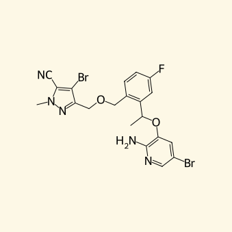 CC(Oc1cc(Br)cnc1N)c1cc(F)ccc1COCc1nn(C)c(C#N)c1Br